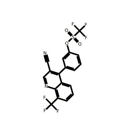 N#Cc1cnc2c(C(F)(F)F)cccc2c1-c1cccc(OS(=O)(=O)C(F)(F)F)c1